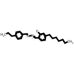 CCCCCCCc1ccc(/C=N/N=C/c2ccc(CCC)cc2)c(F)c1